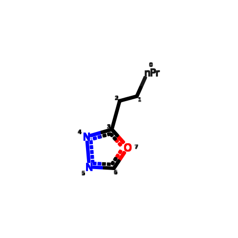 CCCCCc1nnco1